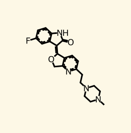 CN1CCN(CCc2ccc3c(n2)COC3=C2C(=O)Nc3ccc(F)cc32)CC1